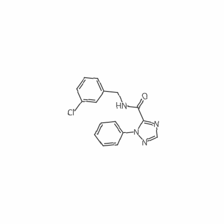 O=C(NCc1cccc(Cl)c1)c1ncnn1-c1ccccc1